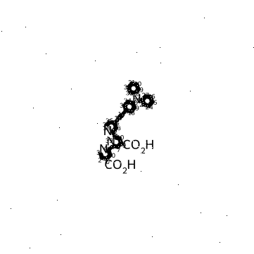 O=C(O)c1ccnc(-c2cc(C(=O)O)cc(-c3cc(C#Cc4ccc(N(c5ccccc5)c5ccccc5)cc4)ccn3)n2)c1